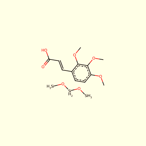 COc1ccc(/C=C/C(=O)O)c(OC)c1OC.[SiH3]O[SiH2]O[SiH3]